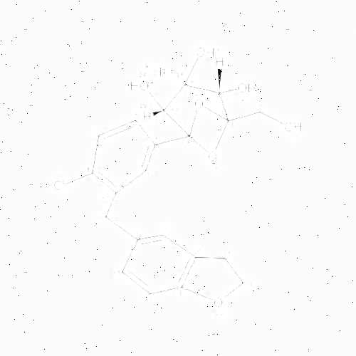 OCC12OC(c3ccc(Cl)c(Cc4ccc5c(c4)CCO5)c3)(O1)[C@H](O)[C@@H](O)[C@@H]2O